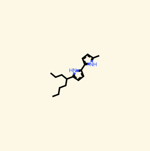 CCCCC(CCC)c1ccc(-c2ccc(C)[nH]2)[nH]1